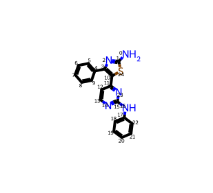 Nc1nc(-c2ccccc2)c(-c2ccnc(Nc3ccccc3)n2)s1